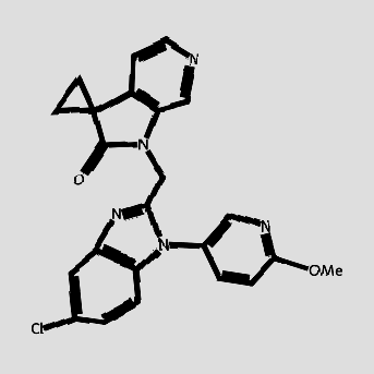 COc1ccc(-n2c(CN3C(=O)C4(CC4)c4ccncc43)nc3cc(Cl)ccc32)cn1